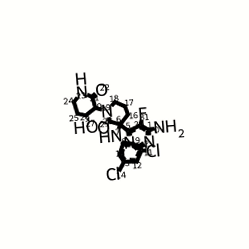 Nc1ncnc(C2(Nc3cc(Cl)cc(Cl)c3)CCCN(C3C(=O)NCC[C@H]3O)C2=O)c1F